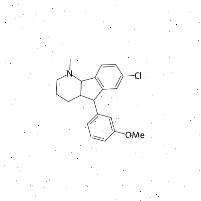 COc1cccc(C2c3cc(Cl)ccc3C3C2CCCN3C)c1